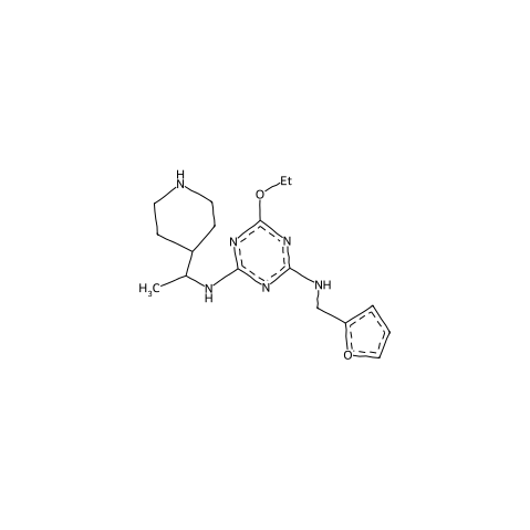 CCOc1nc(NCc2ccco2)nc(NC(C)C2CCNCC2)n1